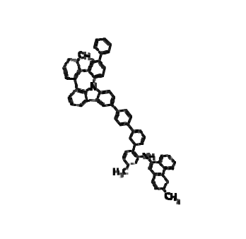 CC1C=CC(C2C=CC=C(c3ccc(-c4ccc5c(c4)c4cccc6c4n5-c4ccc(-c5ccccc5)cc4C4=C6C=CCC4C)cc3)C2)=C(Nc2cc3c(c4ccccc24)CC(C)C=C3)C1